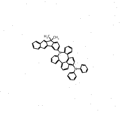 CC1(C)c2ccc(N3c4ccccc4-c4cccc5c(N(c6ccccc6)c6ccccc6)ccc(c45)-c4ccccc43)cc2-c2cc3ccccc3cc21